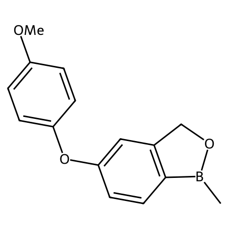 COc1ccc(Oc2ccc3c(c2)COB3C)cc1